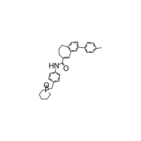 Cc1ccc(-c2ccc3c(c2)C=C(C(=O)Nc2ccc(CP4(=O)CCCCC4)cc2)CCC3)cc1